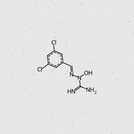 N=C(N)N(O)N=Cc1cc(Cl)cc(Cl)c1